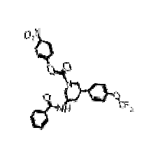 O=C(NC1CC(c2ccc(OC(F)(F)F)cc2)CN(C(=O)Oc2ccc([N+](=O)[O-])cc2)C1)c1ccccc1